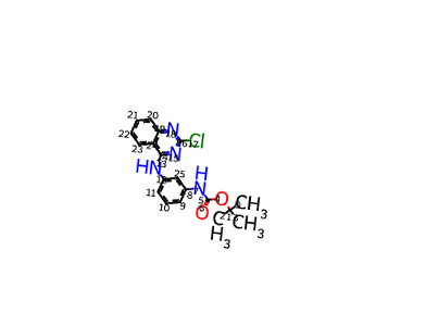 CC(C)(C)OC(=O)Nc1cccc(Nc2nc(Cl)nc3ccccc23)c1